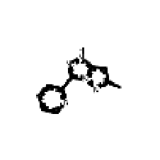 Cc1cc2[nH]nc(-c3ccccn3)n2n1